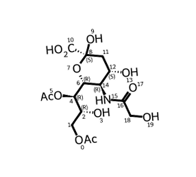 CC(=O)OC[C@@H](O)[C@@H](OC(C)=O)[C@@H]1O[C@](O)(C(=O)O)C[C@H](O)[C@H]1NC(=O)CO